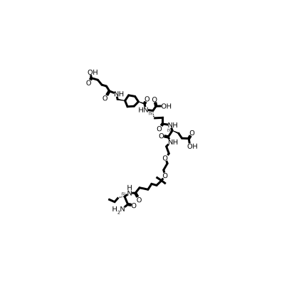 CCC[C@H](NC(=O)CCCCC(C)(C)OCCOCCNC(=O)[C@H](CCC(=O)O)NC(=O)CC[C@H](NC(=O)[C@H]1CC[C@@H](CNC(=O)CCCC(=O)O)CC1)C(=O)O)C(N)=O